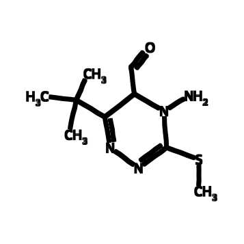 CSC1=NN=C(C(C)(C)C)C(C=O)N1N